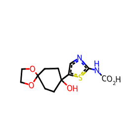 O=C(O)Nc1ncc(C2(O)CCC3(CC2)OCCO3)s1